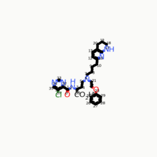 O=C(NC(CCN(CCCCc1ccc2c(n1)NCCC2)CCOc1ccccc1)C(=O)O)c1ncncc1Cl